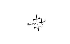 CC(C)(C)[PH]([Pd-][Br])(C(C)(C)C)C(C)(C)C